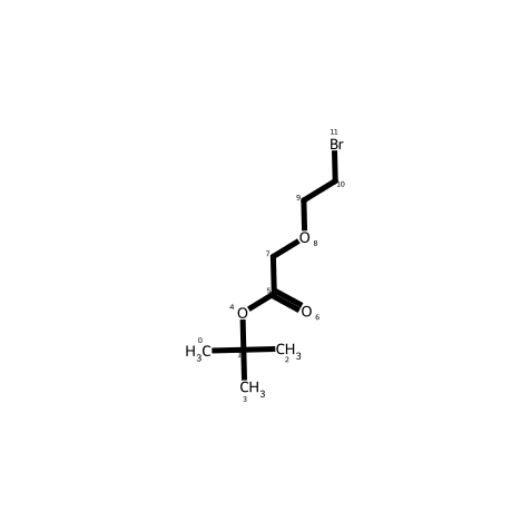 CC(C)(C)OC(=O)COCCBr